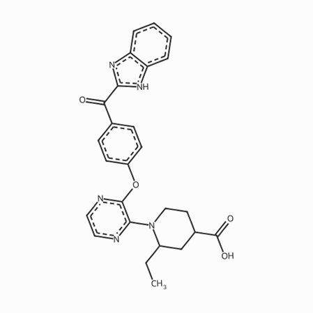 CCC1CC(C(=O)O)CCN1c1nccnc1Oc1ccc(C(=O)c2nc3ccccc3[nH]2)cc1